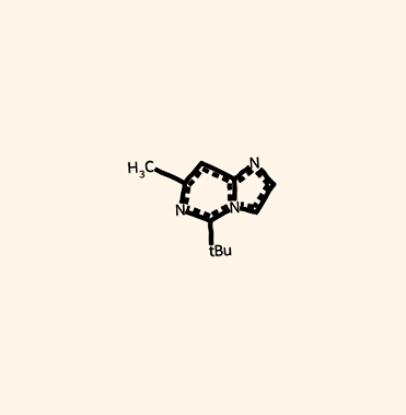 Cc1cc2nccn2c(C(C)(C)C)n1